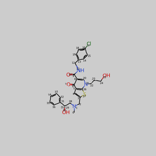 CN(Cc1cc2c(=O)c(C(=O)NCc3ccc(Cl)cc3)cn(CCCO)c2s1)C[C@@H](O)c1ccccc1